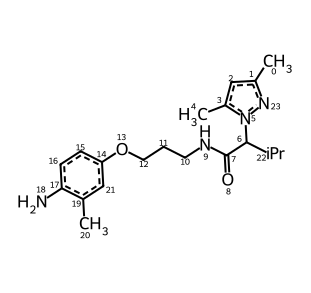 Cc1cc(C)n(C(C(=O)NCCCOc2ccc(N)c(C)c2)C(C)C)n1